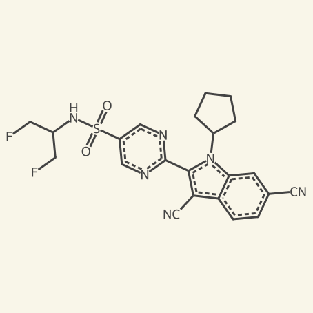 N#Cc1ccc2c(C#N)c(-c3ncc(S(=O)(=O)NC(CF)CF)cn3)n(C3CCCC3)c2c1